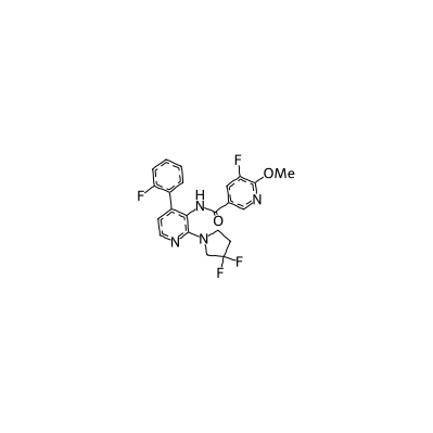 COc1ncc(C(=O)Nc2c(-c3ccccc3F)ccnc2N2CCC(F)(F)C2)cc1F